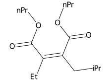 CCCOC(=O)C(CC)=C(CC(C)C)C(=O)OCCC